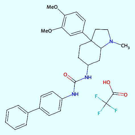 COc1ccc(C23CCC(NC(=O)Nc4ccc(-c5ccccc5)cc4)CC2N(C)CC3)cc1OC.O=C(O)C(F)(F)F